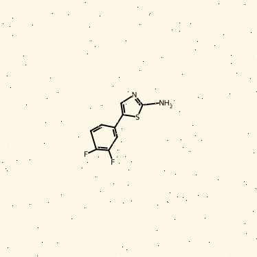 Nc1ncc(-c2ccc(F)c(F)c2)s1